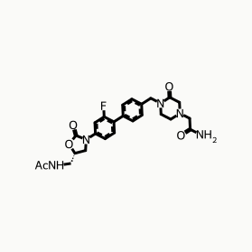 CC(=O)NC[C@H]1CN(c2ccc(-c3ccc(CN4CCN(CC(N)=O)CC4=O)cc3)c(F)c2)C(=O)O1